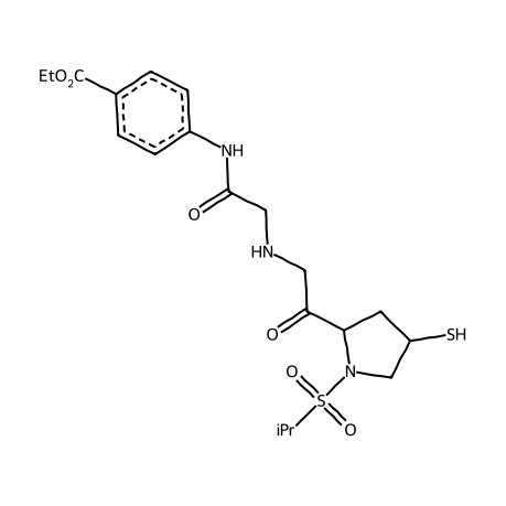 CCOC(=O)c1ccc(NC(=O)CNCC(=O)C2CC(S)CN2S(=O)(=O)C(C)C)cc1